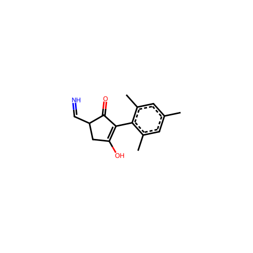 Cc1cc(C)c(C2=C(O)CC(C=N)C2=O)c(C)c1